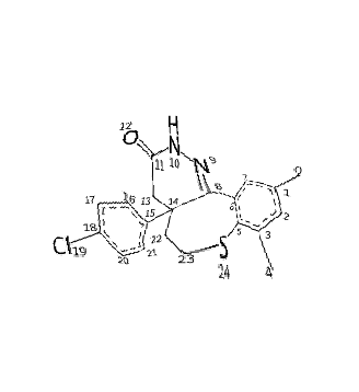 Cc1cc(C)c2c(c1)C1=NNC(=O)CC1(c1ccc(Cl)cc1)CCS2